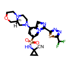 N#CC1(NS(=O)(=O)c2cc(N3CCN4CCOC[C@H]4C3)c3cnc(-c4nnc(C(F)F)s4)n3c2)CC1